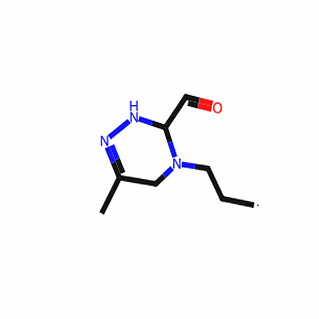 [CH2]CCN1CC(C)=NNC1C=O